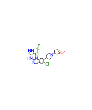 [O-][S+]1CCC(N2CCC(c3cc4nc(NC5C=NN(CC(F)F)C5Cl)ncc4cc3Cl)CC2)C1